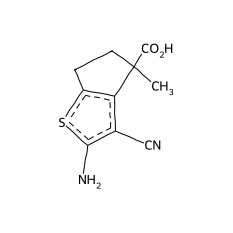 CC1(C(=O)O)CCc2sc(N)c(C#N)c21